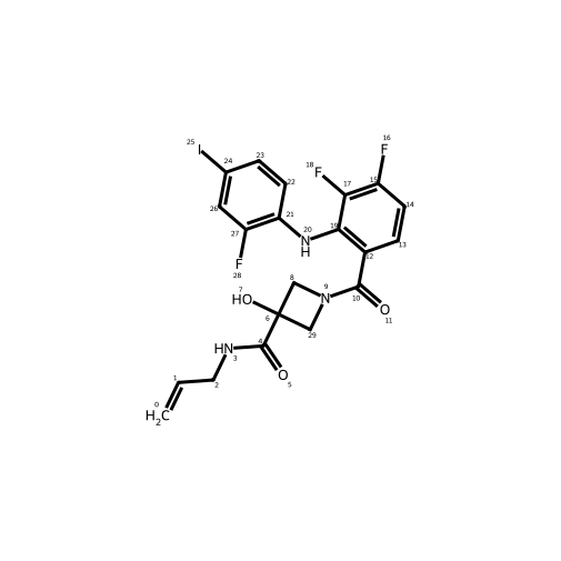 C=CCNC(=O)C1(O)CN(C(=O)c2ccc(F)c(F)c2Nc2ccc(I)cc2F)C1